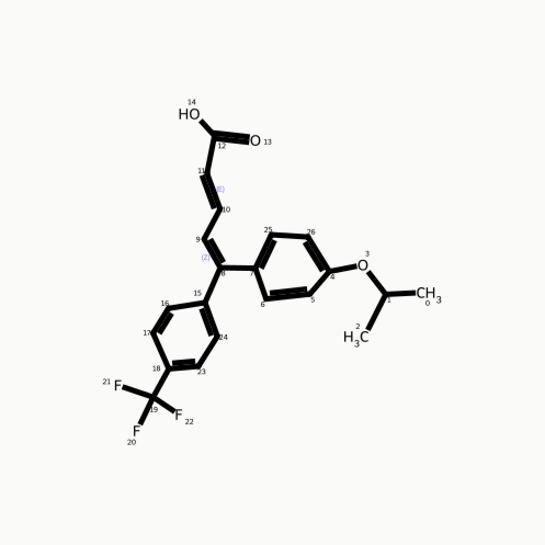 CC(C)Oc1ccc(/C(=C\C=C\C(=O)O)c2ccc(C(F)(F)F)cc2)cc1